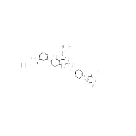 Cc1nc(C)n(-c2ccc(CNc3nc(NCC(F)(F)F)c4nc(-c5cccc(S(C)(=O)=O)c5)ccc4n3)cc2)n1